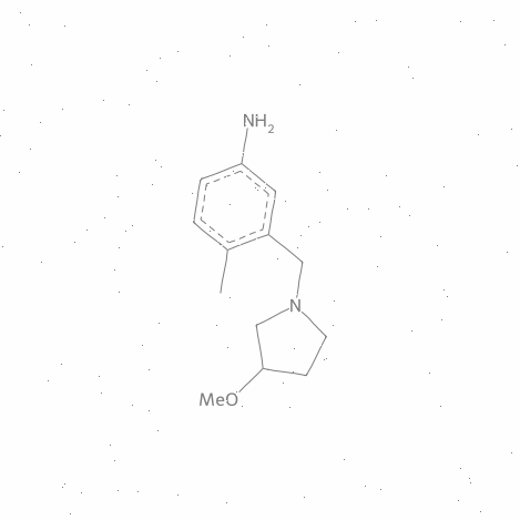 COC1CCN(Cc2cc(N)ccc2C)C1